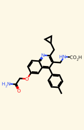 Cc1ccc(-c2c(CNC(=O)O)c(CC3CC3)nc3ccc(OCC(N)=O)cc23)cc1